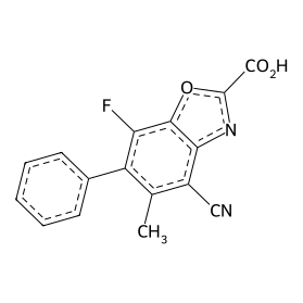 Cc1c(-c2ccccc2)c(F)c2oc(C(=O)O)nc2c1C#N